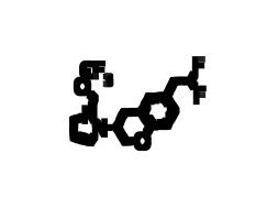 FC(F)Cc1ccc2c(c1)C[C@@H](N1C=CCN1COC(F)(F)F)CO2